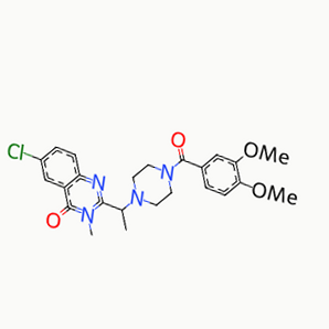 COc1ccc(C(=O)N2CCN(C(C)c3nc4ccc(Cl)cc4c(=O)n3C)CC2)cc1OC